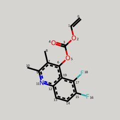 C=COC(=O)Oc1c(C)c(C)nc2ccc(F)c(F)c12